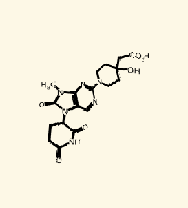 Cn1c(=O)n(C2CCC(=O)NC2=O)c2cnc(N3CCC(O)(CC(=O)O)CC3)nc21